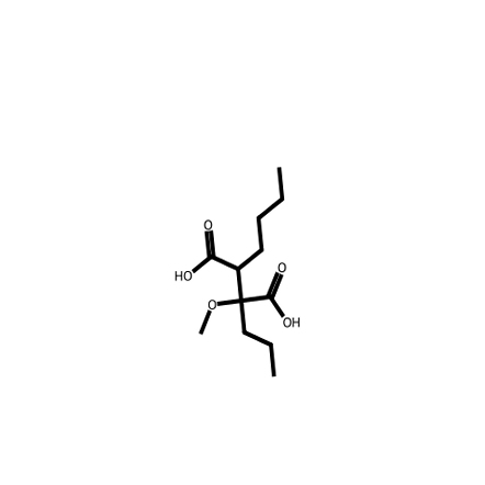 CCCCC(C(=O)O)C(CCC)(OC)C(=O)O